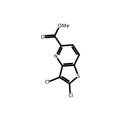 COC(=O)c1ccc2sc(Cl)c(Cl)c2n1